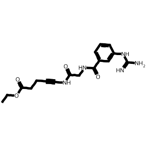 CCOC(=O)CCC#CNC(=O)CNC(=O)c1cccc(NC(=N)N)c1